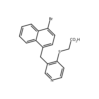 O=C(O)CSc1ccncc1Cc1ccc(Br)c2ccccc12